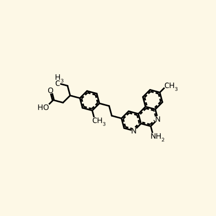 CCC(CC(=O)O)c1ccc(CCc2cnc3c(N)nc4cc(C)ccc4c3c2)c(C)c1